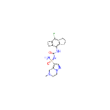 CN1CCn2ncc(S(N)(=O)=NC(=O)Nc3c4c(c(F)c5c3CC5)CCC4)c2C1